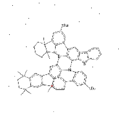 CC(C)(C)c1ccc(N2c3cc4c(cc3B3c5c(cc6c(sc7ccccc76)c52)-c2cc(C(C)(C)C)cc5c2N3C2(C)CCCCC52C)-c2cc3c(cc2C4(C)C)C(C)(C)CCC3(C)C)c(-c2ccccc2)c1